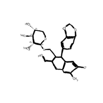 Cc1cc2c(cc1Cl)C(c1ccc3c(c1)OCO3)C(CO[C@@H]1OC[C@@H](O)[C@H](O)[C@H]1O)C(CO)C2